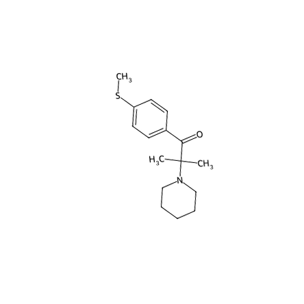 CSc1ccc(C(=O)C(C)(C)N2CCCCC2)cc1